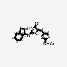 CC(=O)Nc1ncc(C=C2SC(=NC3CCc4ccccc43)NC2=O)s1